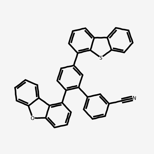 N#Cc1cccc(-c2cc(-c3cccc4c3sc3ccccc34)ccc2-c2cccc3oc4ccccc4c23)c1